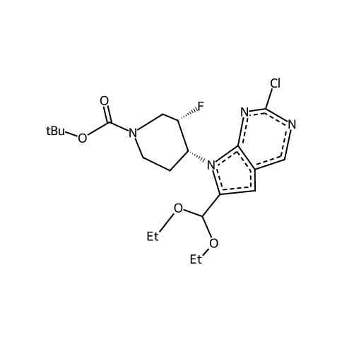 CCOC(OCC)c1cc2cnc(Cl)nc2n1[C@@H]1CCN(C(=O)OC(C)(C)C)C[C@@H]1F